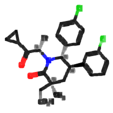 CC[C@@H](C(=O)C1CC1)N1C(=O)[C@](C)(CC(=O)O)C[C@H](c2cccc(Cl)c2)[C@H]1c1ccc(Cl)cc1